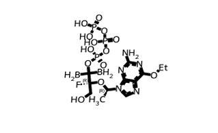 BC(B)(OP(=O)(O)OP(=O)(O)OP(=O)(O)O)[C@](F)(CO)O[C@H](C)n1cnc2c(OCC)nc(N)nc21